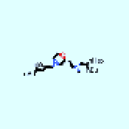 CCCCCCC(CCCC)CN(C)CC[C@@H]1CN(CCCC(CCCC)CCCC)CCO1